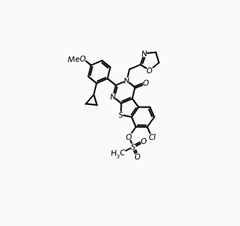 COc1ccc(-c2nc3sc4c(OS(C)(=O)=O)c(Cl)ccc4c3c(=O)n2CC2=NCCO2)c(C2CC2)c1